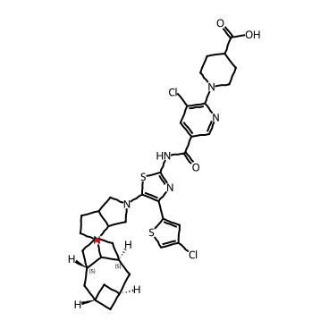 O=C(Nc1nc(-c2cc(Cl)cs2)c(N2CC3CCN(C4[C@H]5CCC[C@H]4C[C@H]4C[C@H](C5)C4)C3C2)s1)c1cnc(N2CCC(C(=O)O)CC2)c(Cl)c1